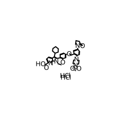 CS(=O)(=O)N1CCN(c2ccc(N3CCCC3=O)cc2COc2ccc3c(c2)OCCn2c-3c(C3CCCCC3)c3ccc(C(=O)O)nc32)CC1.Cl.Cl